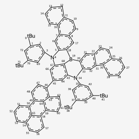 CC(C)(C)c1cc(N2c3cc4c(ccc5ccccc54)cc3B3c4cc5ccc6ccccc6c5cc4N(c4cc(C(C)(C)C)cc(C(C)(C)C)c4)c4cc(-c5ccc6c7cccc8cccc(c9cccc5c96)c87)cc2c43)cc(C(C)(C)C)c1